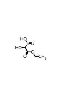 CCOC(=O)C(O)S(=O)O